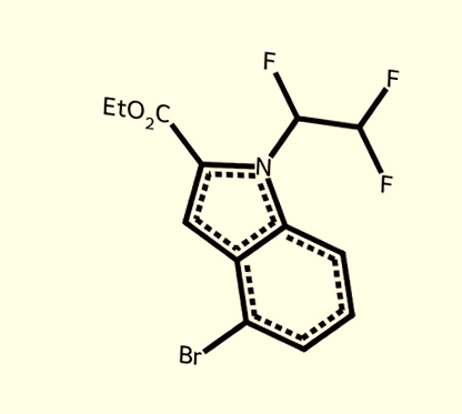 CCOC(=O)c1cc2c(Br)cccc2n1C(F)C(F)F